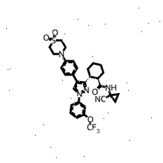 N#CC1(NC(=O)[C@@H]2CCCC[C@H]2c2nn(-c3cccc(OC(F)(F)F)c3)cc2-c2ccc(N3CCS(=O)(=O)CC3)cc2)CC1